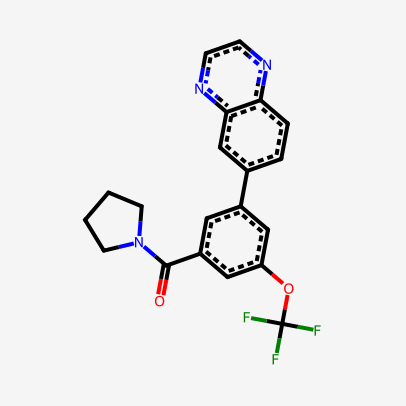 O=C(c1cc(OC(F)(F)F)cc(-c2ccc3nccnc3c2)c1)N1CCCC1